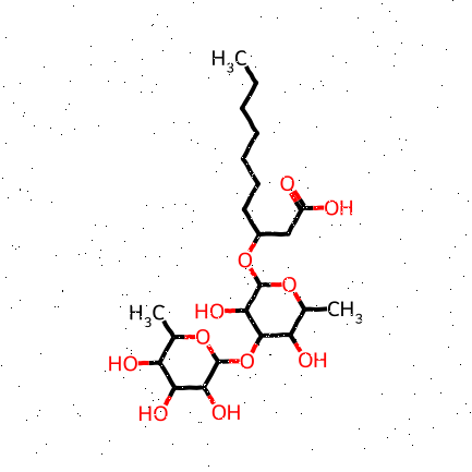 CCCCCCCC(CC(=O)O)OC1OC(C)C(O)C(OC2OC(C)C(O)C(O)C2O)C1O